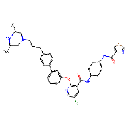 C[C@@H]1CN(CCCc2ccc(-c3cccc(Oc4ncc(F)cc4C(=O)NC4CCC(NC(=O)c5cscn5)CC4)c3)cc2)C[C@H](C)N1